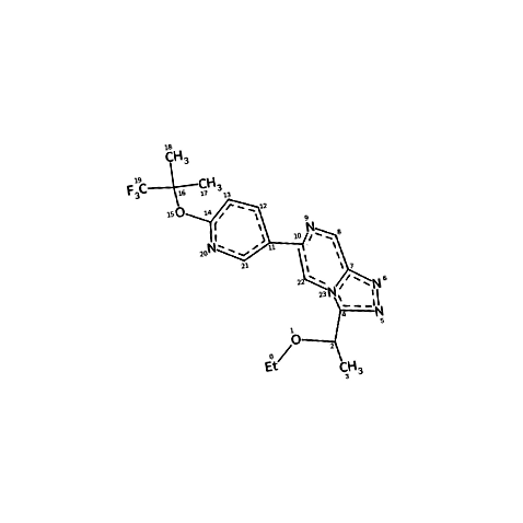 CCOC(C)c1nnc2cnc(-c3ccc(OC(C)(C)C(F)(F)F)nc3)cn12